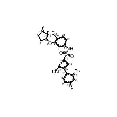 CN1CCC(Oc2cc(NS(=O)(=O)c3cc(-c4ccc(F)cc4F)c(Cl)s3)ccc2C(F)(F)F)C1